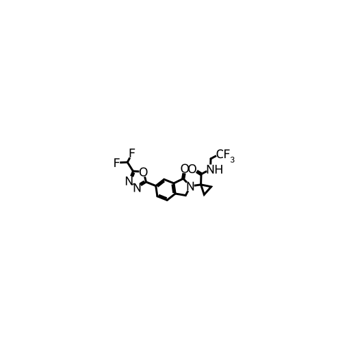 O=C1c2cc(-c3nnc(C(F)F)o3)ccc2CN1C1(C(=O)NCC(F)(F)F)CC1